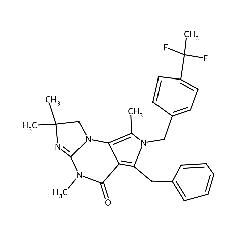 Cc1c2c(c(Cc3ccccc3)n1Cc1ccc(C(C)(F)F)cc1)C(=O)N(C)C1=NC(C)(C)CN12